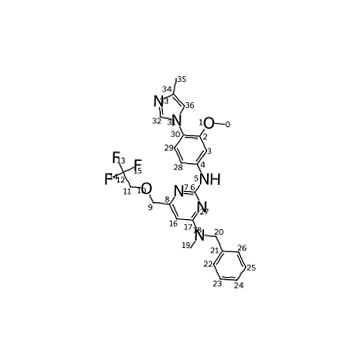 COc1cc(Nc2nc(COCC(F)(F)F)cc(N(C)Cc3ccccc3)n2)ccc1-n1cnc(C)c1